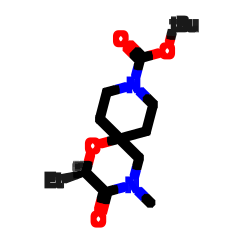 CC[C@H]1OC2(CCN(C(=O)OC(C)(C)C)CC2)CN(C)C1=O